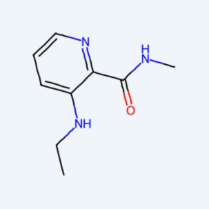 CCNc1cccnc1C(=O)NC